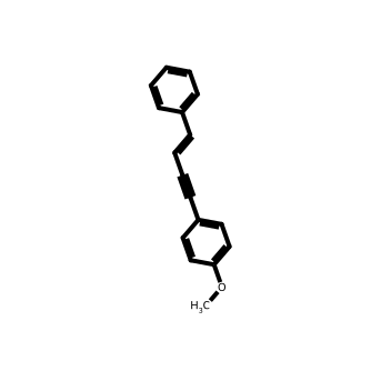 COc1ccc(C#CC=Cc2ccccc2)cc1